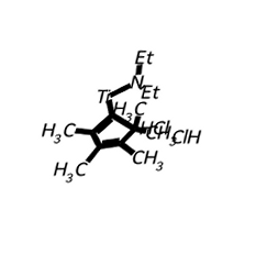 CC[N](CC)[Ti][C]1=C(C)C(C)=C(C)C1(C)C.Cl.Cl